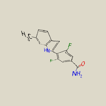 Cc1ccc2cc(-c3c(F)cc(C(N)=O)cc3F)[nH]c2c1